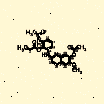 CCC(=O)Oc1c(NC(C)=O)cccc1Nc1ccc2cc(OC)c(OC(C)=O)cc2n1